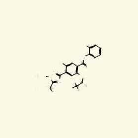 Cc1ccccc1NC(=O)c1cc(F)c(-c2nc([C@@H](C)O)n(C)n2)cc1O[C@@H](C)C(F)(F)F